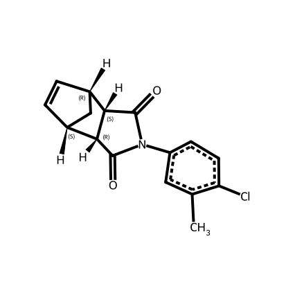 Cc1cc(N2C(=O)[C@@H]3[C@H](C2=O)[C@@H]2C=C[C@H]3C2)ccc1Cl